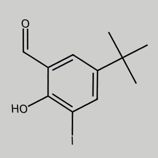 CC(C)(C)c1cc(I)c(O)c(C=O)c1